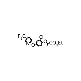 CCOC(=O)C(C)Oc1ccc(Oc2ccc(C(F)(F)F)cn2)cc1Cl